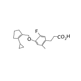 Cc1cc(OCC2=C(C3CC3)CCC2)c(F)cc1CCC(=O)O